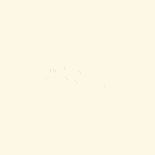 CC[C@H]1CC(NC(C)c2ncc(-c3ccc(F)c(C)c3)cn2)=CN1